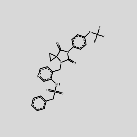 O=C1N(c2ccc(OC(F)(F)F)cc2)C(=O)C2(CC2)N1Cc1ccncc1NS(=O)(=O)Cc1ccccc1